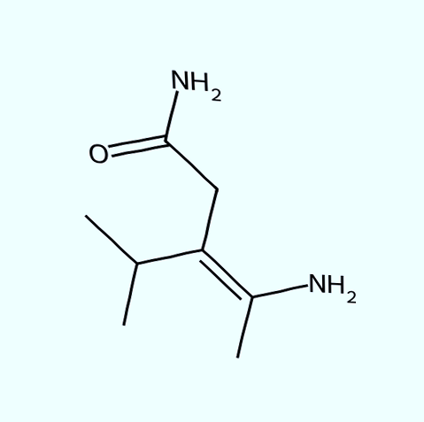 C/C(N)=C(/CC(N)=O)C(C)C